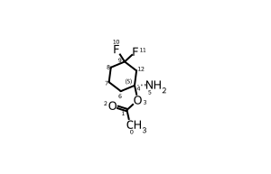 CC(=O)O[C@@]1(N)CCCC(F)(F)C1